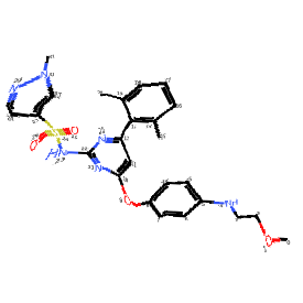 COCCNc1ccc(Oc2cc(-c3c(C)cccc3C)nc(NS(=O)(=O)c3cnn(C)c3)n2)cc1